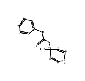 O=C(Nc1ccccc1)OC1(O)C=CSC=C1